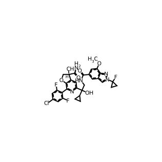 COc1cc(C(=O)NCC(O)(c2cc3c(c(-c4c(F)cc(Cl)cc4F)n2)OC[C@]3(C)C(N)=O)C2CC2)cc2cn(C3(F)CC3)nc12